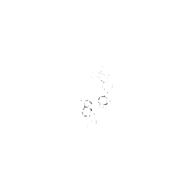 CCS(=O)(=O)N[C@H]1CCCN(c2cc(-c3cnc4ccc(C(F)F)nn34)ncn2)C1